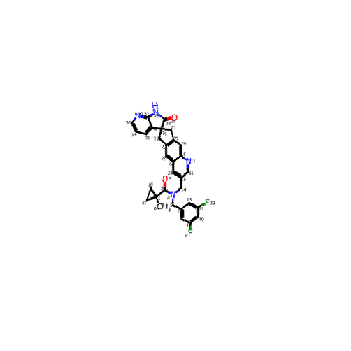 CC1(C(=O)N(Cc2cc(F)cc(F)c2)Cc2cnc3cc4c(cc3c2)CC2(C4)C(=O)Nc3ncccc32)CC1